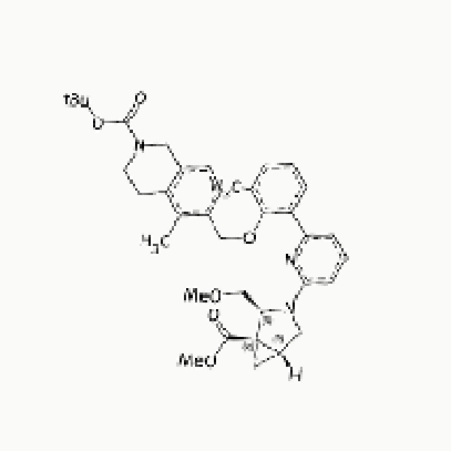 COC[C@H]1N(c2cccc(-c3cccc(C)c3OCc3ccc4c(c3C)CCN(C(=O)OC(C)(C)C)C4)n2)C[C@@H]2C[C@@]21C(=O)OC